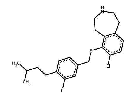 CC(C)CCc1ccc(CSc2c(Cl)ccc3c2CCNCC3)cc1F